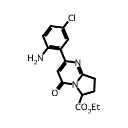 CCOC(=O)C1CCc2nc(-c3cc(Cl)ccc3N)cc(=O)n21